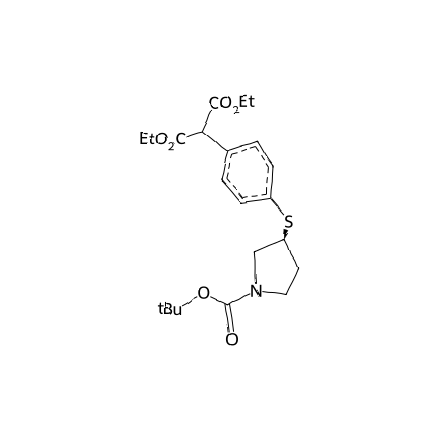 CCOC(=O)C(C(=O)OCC)c1ccc(S[C@H]2CCN(C(=O)OC(C)(C)C)C2)cc1